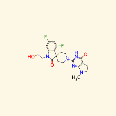 CN1CCc2c1nc(N1CCC3(CC1)C(=O)N(CCO)c1cc(F)cc(F)c13)[nH]c2=O